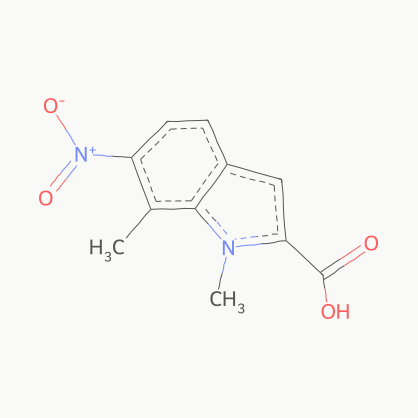 Cc1c([N+](=O)[O-])ccc2cc(C(=O)O)n(C)c12